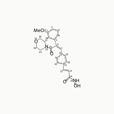 COc1cccc(/C(=C/c2ccc(/C=C/C(=O)NO)cc2)C(=O)N2CCOCC2)c1